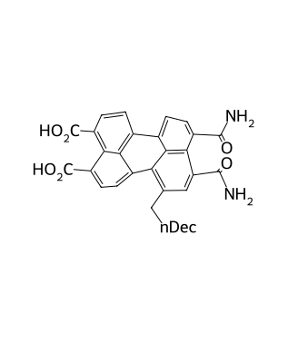 CCCCCCCCCCCc1cc(C(N)=O)c2c(C(N)=O)ccc3c4ccc(C(=O)O)c5c(C(=O)O)ccc(c1c23)c54